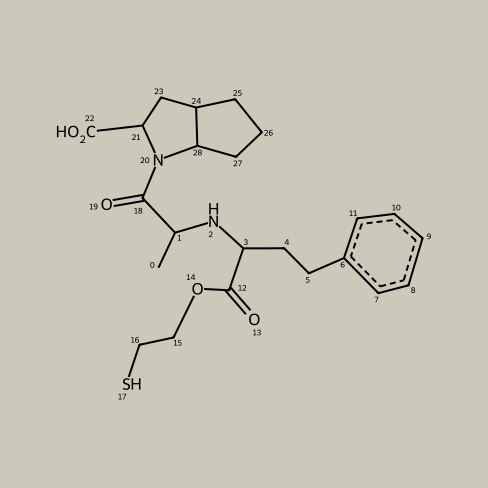 CC(NC(CCc1ccccc1)C(=O)OCCS)C(=O)N1C(C(=O)O)CC2CCCC21